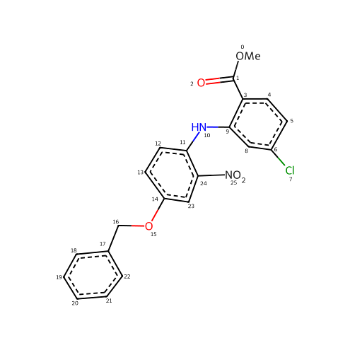 COC(=O)c1ccc(Cl)cc1Nc1ccc(OCc2ccccc2)cc1[N+](=O)[O-]